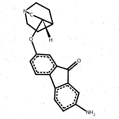 Nc1ccc2c(c1)C(=O)c1cc(O[C@@H]3CN4CCC3CC4)ccc1-2